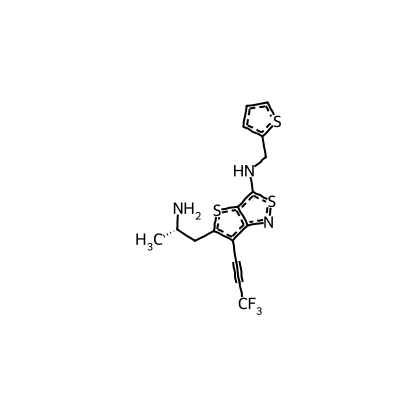 C[C@H](N)Cc1sc2c(NCc3cccs3)snc2c1C#CC(F)(F)F